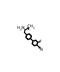 C=N[C@@H](N)Cc1ccc(-c2ccc(C#N)c(F)c2)cc1